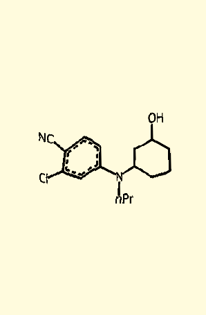 CCCN(c1ccc(C#N)c(Cl)c1)C1CCCC(O)C1